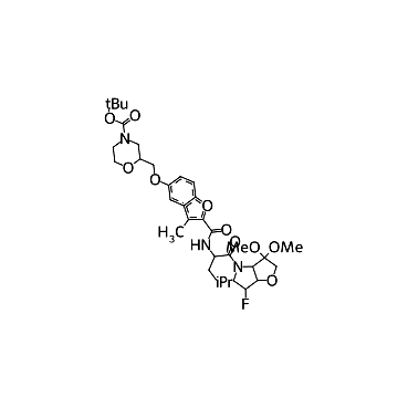 COC1(OC)COC2C(F)CN(C(=O)C(CC(C)C)NC(=O)c3oc4ccc(OCC5CN(C(=O)OC(C)(C)C)CCO5)cc4c3C)C21